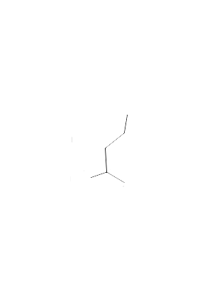 CCCCCCC(C)C(=O)O.Cl